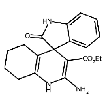 CCOC(=O)C1=C(N)NC2=C(CCCC2)C12C(=O)Nc1ccccc12